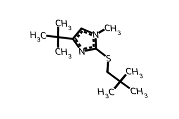 Cn1cc(C(C)(C)C)nc1SCC(C)(C)C